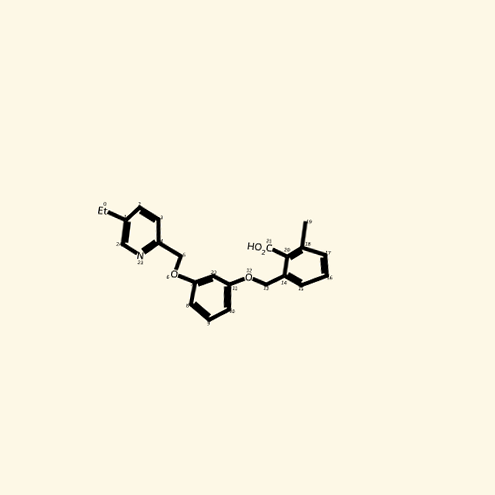 CCc1ccc(COc2cccc(OCc3cccc(C)c3C(=O)O)c2)nc1